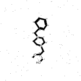 CO[C@@H](CO)CN1CCN(Cc2ccccc2)CC1